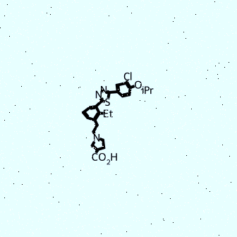 CCc1c(CCN2CCC(C(=O)O)C2)cccc1-c1nnc(-c2ccc(OC(C)C)c(Cl)c2)s1